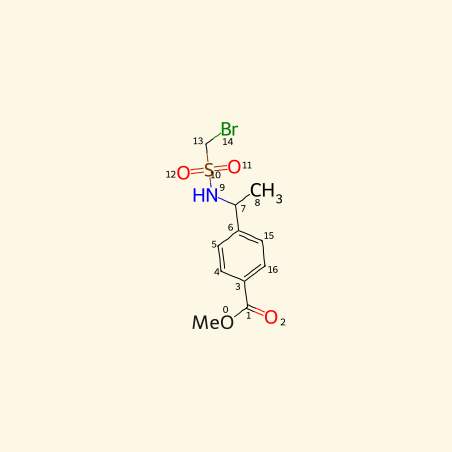 COC(=O)c1ccc(C(C)NS(=O)(=O)CBr)cc1